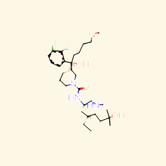 CC[C@H](CCC(C)(C)O)C[C@@H](CNC)NC(=O)N1CCC[C@@H]([C@@](O)(CCCCOC)c2cccc(Cl)c2F)C1